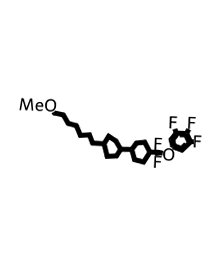 COCCCCCCCC1CCC(C2CCC(C(F)(F)Oc3cc(F)c(F)c(F)c3)CC2)CC1